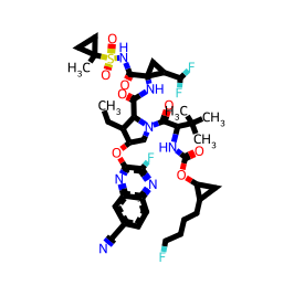 CCC1C(Oc2nc3cc(C#N)ccc3nc2F)CN(C(=O)C(NC(=O)OC2CC2CCCCF)C(C)(C)C)C1C(=O)NC1(C(=O)NS(=O)(=O)C2(C)CC2)CC1C(F)F